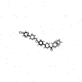 CCc1cnc(N2CCC(COc3ccc(C4=CCC(C(=O)N5CCC6(CC5)OCCO6)CC4)cc3)CC2)nc1